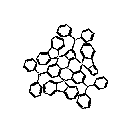 c1ccc(N(c2ccccc2)c2cc3c4c(c2)S2(c5ccccc5-c5ccccc52)c2cc(N(c5ccccc5)c5ccccc5)cc5c2N4c2c(cc(N(c4ccccc4)c4ccccc4)cc2S52c4ccccc4-c4ccccc42)S32c3ccccc3-c3ccccc32)cc1